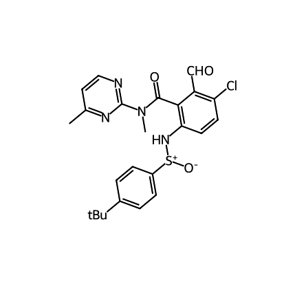 Cc1ccnc(N(C)C(=O)c2c(N[S+]([O-])c3ccc(C(C)(C)C)cc3)ccc(Cl)c2C=O)n1